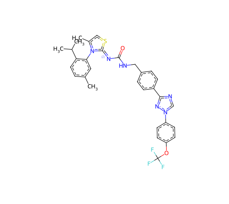 Cc1ccc(C(C)C)c(-n2c(C)cs/c2=N\C(=O)NCc2ccc(-c3ncn(-c4ccc(OC(F)(F)F)cc4)n3)cc2)c1